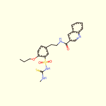 CCCOc1ccc(CCNC(=O)c2cnc3ccccc3c2)cc1S(=O)(=O)NC(=S)NC